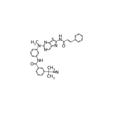 CN(c1cccc(NC(=O)c2cccc(C(C)(C)C#N)c2)c1)c1ncc2nc(NC(=O)C=Cc3ccccc3)sc2n1